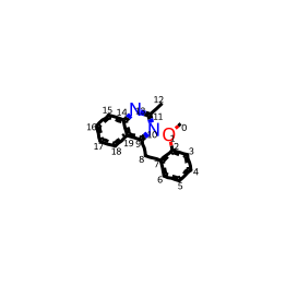 COc1ccccc1Cc1nc(C)nc2ccccc12